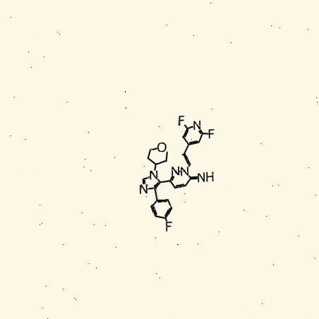 N=c1ccc(-c2c(-c3ccc(F)cc3)ncn2C2CCOCC2)nn1/C=C/c1cc(F)nc(F)c1